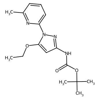 CCOc1cc(NC(=O)OC(C)(C)C)nn1-c1cccc(C)n1